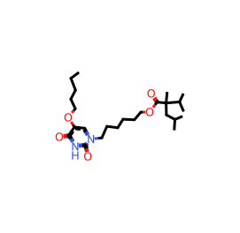 CCCCCOc1cn(CCCCCCOC(=O)C(C)(CC(C)C)C(C)C)c(=O)[nH]c1=O